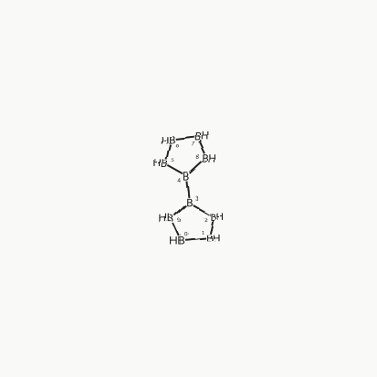 B1BBB(B2BBBB2)B1